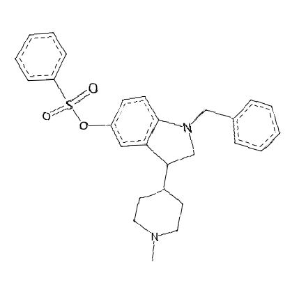 CN1CCC(C2CN(Cc3ccccc3)c3ccc(OS(=O)(=O)c4ccccc4)cc32)CC1